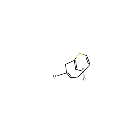 CC1=CC[C@@H]2C=CSC(=C2)C1